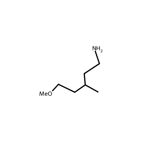 COCCC(C)CCN